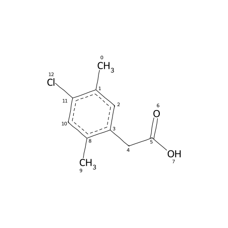 Cc1cc(CC(=O)O)c(C)cc1Cl